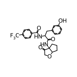 O=C(NC(Cc1cccc(O)c1)C(=O)NC12CCCC1OCC2=O)c1ccc(C(F)(F)F)cc1